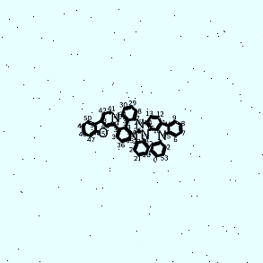 c1ccc(-n2c3ccccc3c3ccc4c(c32)n2c3ccccc3nc2n4-c2ccccc2-c2ccccc2-c2nccc3c2oc2ccccc23)cc1